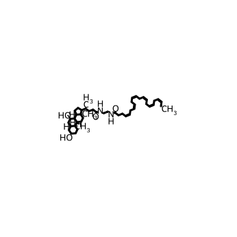 CC/C=C\C/C=C\C/C=C\C/C=C\C/C=C\C/C=C\CCC(=O)NCCNC(=O)CC[C@@H](C)C1CC[C@H]2[C@@H]3[C@H](O)C[C@@H]4C[C@H](O)CC[C@]4(C)[C@H]3CC[C@]12C